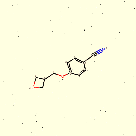 N#Cc1ccc(OCC2COC2)cc1